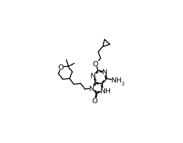 CC1(C)CC(CCCn2c(=O)[nH]c3c(N)nc(OCCC4CC4)nc32)CCO1